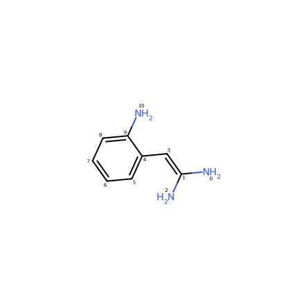 NC(N)=Cc1ccccc1N